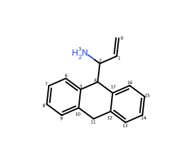 C=CC(N)C1c2ccccc2Cc2ccccc21